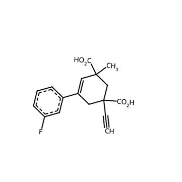 C#CC1(C(=O)O)CC(c2cccc(F)c2)=CC(C)(C(=O)O)C1